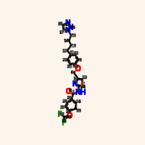 O=C(Nc1nc(COc2ccc(CCCCn3ccnn3)cc2)cs1)c1ccc(OC(F)F)cc1